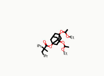 CCOC(C)OC12CC3CC(OC(=O)C(C)(CC(C)C)C(C)C)(C1)CC(OC(C)OCC)(C3)C2